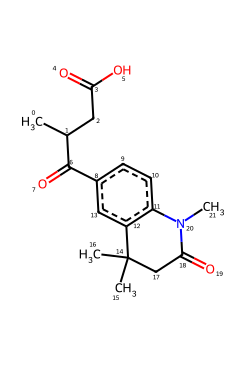 CC(CC(=O)O)C(=O)c1ccc2c(c1)C(C)(C)CC(=O)N2C